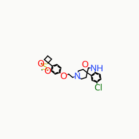 CS(=O)(=O)C1(c2ccc(OCCN3CCC4(CC3)C(=O)Nc3ccc(Cl)cc34)cc2)CCC1